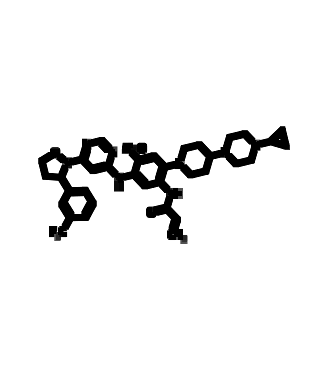 C=CC(=O)Nc1cc(Nc2cc(N3OCCC3c3cccc(C(F)(F)F)c3)ncn2)c(OC)cc1N1CCC(N2CCN(C3CC3)CC2)CC1